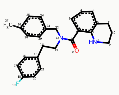 O=C(c1cccc2c1NCCC2)N(CCc1ccc(F)cc1)Cc1ccc(C(F)(F)F)cc1